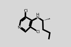 CCC[C@@H](C)Nc1c(Cl)cncc1Cl